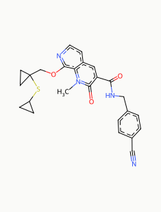 Cn1c(=O)c(C(=O)NCc2ccc(C#N)cc2)cc2ccnc(OCC3(SC4CC4)CC3)c21